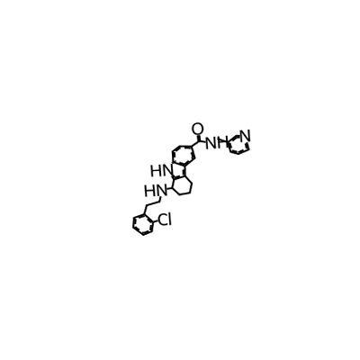 O=C(NCc1cccnc1)c1ccc2[nH]c3c(c2c1)CCCC3NCCc1ccccc1Cl